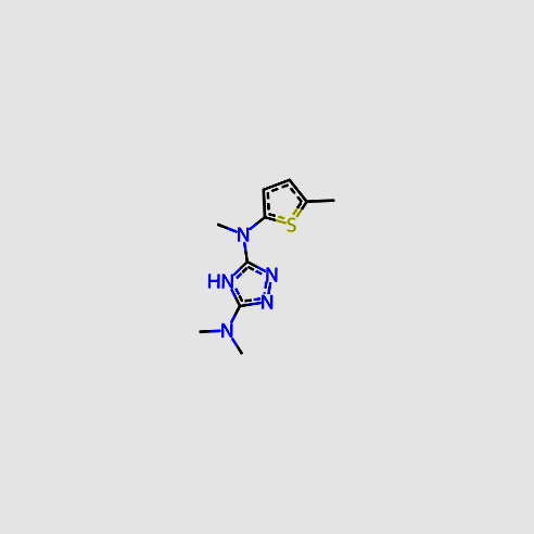 Cc1ccc(N(C)c2nnc(N(C)C)[nH]2)s1